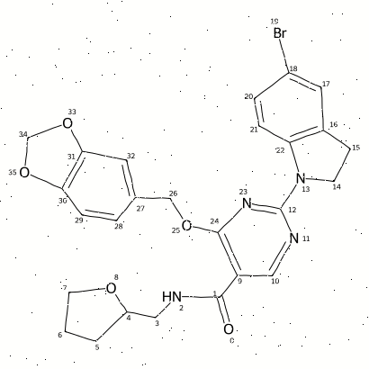 O=C(NCC1CCCO1)c1cnc(N2CCc3cc(Br)ccc32)nc1OCc1ccc2c(c1)OCO2